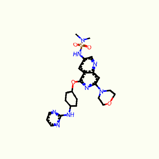 CN(C)S(=O)(=O)Nc1cnc2cc(N3CCOCC3)nc(OC3CCC(Nc4ncccn4)CC3)c2c1